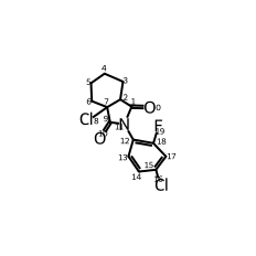 O=C1C2CCCCC2(Cl)C(=O)N1c1ccc(Cl)cc1F